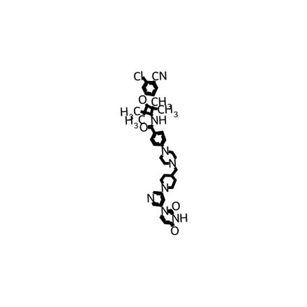 CC1(C)C(NC(=O)c2ccc(N3CCN(CC4CCN(c5cncc(-n6ccc(=O)[nH]c6=O)c5)CC4)CC3)cc2)C(C)(C)C1Oc1ccc(C#N)c(Cl)c1